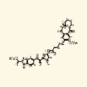 COC(=O)c1nc2cc(NC(=O)c3nc(NC(=O)CCCOc4cc5c(cc4OC)C(=O)N4CCCC[C@H]4CN5)cn3C)ccc2[nH]1